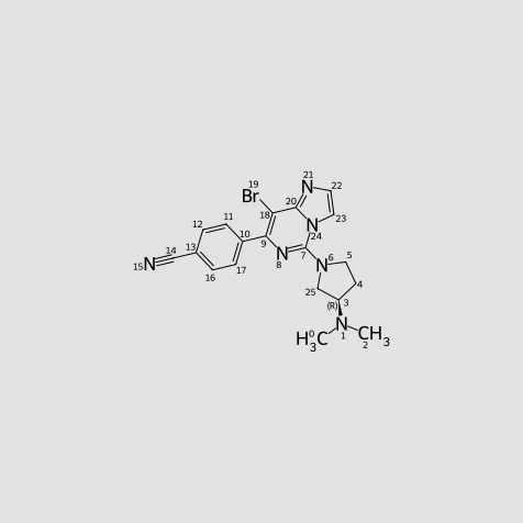 CN(C)[C@@H]1CCN(c2nc(-c3ccc(C#N)cc3)c(Br)c3nccn23)C1